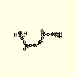 Cc1ccccc1-c1nc(-c2ccc(-c3cc[n+](CCC[n+]4ccc(-c5ccc(-c6cc(-c7ccc(-c8cc[n+](CCP(=O)(O)O)cc8)cc7)nc(-c7ccccc7C)n6)cc5)cc4)cc3)cc2)cc(-c2ccc(-c3cc[n+](CCP(=O)(O)O)cc3)cc2)n1